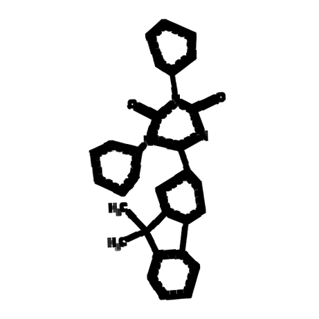 CC1(C)c2ccccc2-c2ccc(-c3nc(=O)n(-c4ccccc4)c(=O)n3-c3ccccc3)cc21